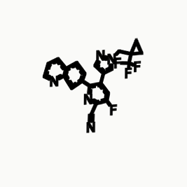 N#Cc1nc(-c2ccc3cccnc3c2)c(-c2cnn(CC3(C(F)(F)F)CC3)c2)cc1F